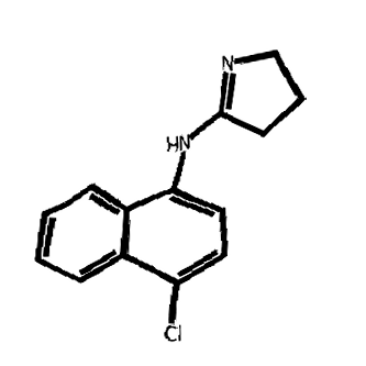 Clc1ccc(NC2=NCCC2)c2ccccc12